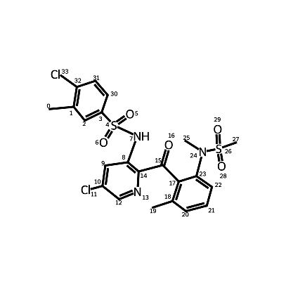 Cc1cc(S(=O)(=O)Nc2cc(Cl)cnc2C(=O)c2c(C)cccc2N(C)S(C)(=O)=O)ccc1Cl